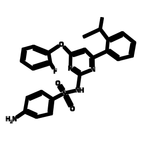 CC(C)c1ccccc1-c1cc(Oc2ccccc2F)nc(NS(=O)(=O)c2ccc(N)cc2)n1